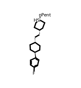 CCCCC[Si@H]1CC[C@H](CC[C@H]2CC[C@H](c3ccc(F)cc3)CC2)CC1